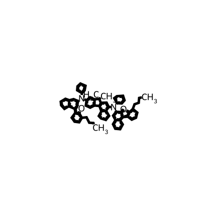 CCCCc1cccc2c1oc1c(N(c3ccccc3)c3ccc4c(c3)C(C)(C)c3cc(N(c5ccccc5)c5cc6ccccc6c6c5oc5c(CCCC)cccc56)c5ccccc5c3-4)cc3ccccc3c12